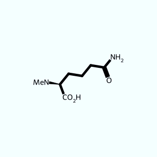 CN[C@@H](CCCC(N)=O)C(=O)O